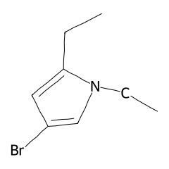 CCc1cc(Br)cn1CC